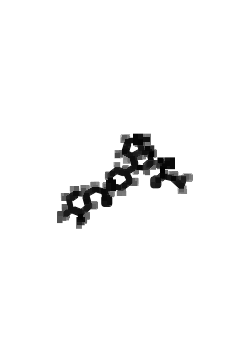 O=C(Nc1cc(C2=CCN(C(=O)Cc3ccc(F)c(F)c3)CC2)c2cc[nH]c2n1)C1CC1